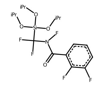 CC(C)O[Si](OC(C)C)(OC(C)C)C(F)(F)N(F)C(=O)c1cccc(F)c1F